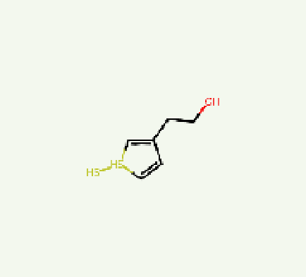 OCCC1=C[SH](S)C=C1